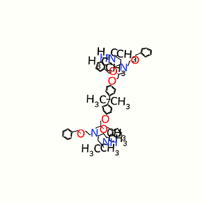 CC1(C)CC(N(CCOCc2ccccc2)CC(COc2ccc(C(C)(C)c3ccc(OCC(CN(CCOCc4ccccc4)C4CC(C)(C)NC(C)(C)C4)OCc4ccccc4)cc3)cc2)OCc2ccccc2)CC(C)(C)N1